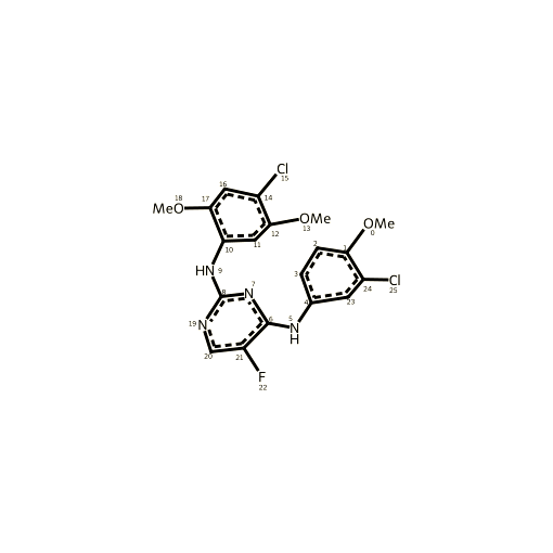 COc1ccc(Nc2nc(Nc3cc(OC)c(Cl)cc3OC)ncc2F)cc1Cl